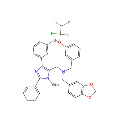 CCCCn1c(-c2ccccc2)nc(-c2cccc(C(F)(F)F)c2)c1CN(Cc1cccc(OC(F)(F)C(F)F)c1)Cc1ccc2c(c1)OCO2